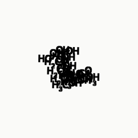 C=C(C)C(=O)O.C=C(C)C(=O)O.C=C(C)C(=O)O.C=C(C)C(=O)O.C=C(C)C(=O)O.OCC(O)C(O)C(O)C(O)CO